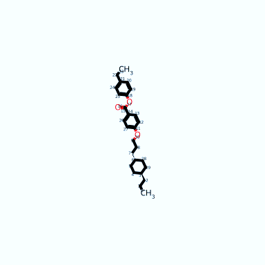 CCC[C@H]1CC[C@H](CCCOc2ccc(C(=O)Oc3ccc(CC)cc3)cc2)CC1